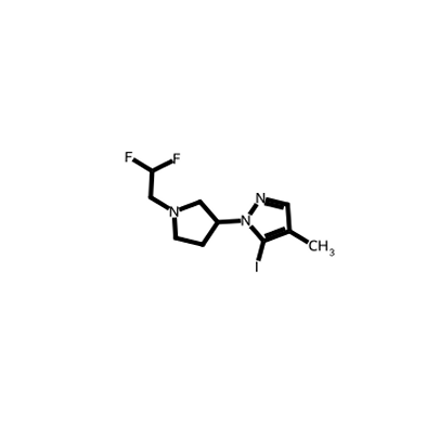 Cc1cnn(C2CCN(CC(F)F)C2)c1I